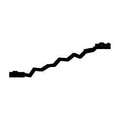 [CH2]CCCCCCC/C=C/CCCCCCCCCCCCCCCCCC[CH2]